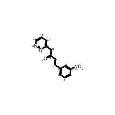 O=C(C=Cc1cccc([N+](=O)[O-])c1)Cc1cccnn1